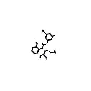 CC(C)CNC(/C(C=N)=C/N)[C@H](C(=O)Nc1cc(Cl)cc(C#N)c1)c1ccccc1C=O